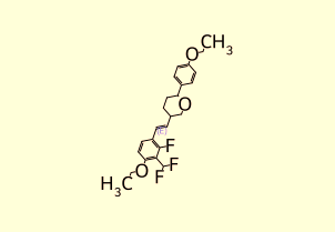 CCOc1ccc(C2CCC(/C=C/c3ccc(OCC)c(C(F)F)c3F)CO2)cc1